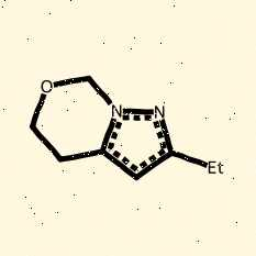 CCc1cc2n(n1)COCC2